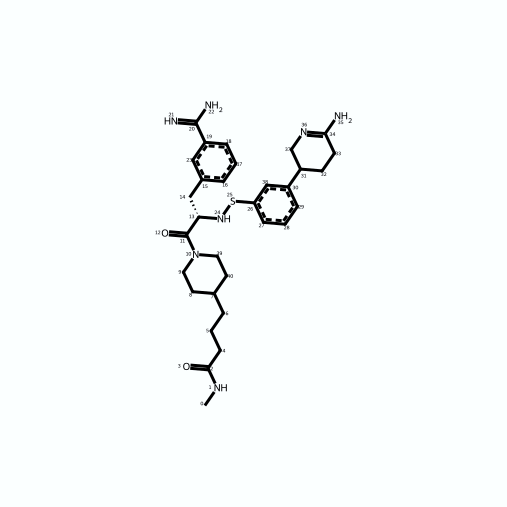 CNC(=O)CCCC1CCN(C(=O)[C@H](Cc2cccc(C(=N)N)c2)NSc2cccc(C3CCC(N)=NC3)c2)CC1